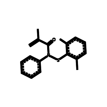 C=C(C)C(=O)N(Sc1c(C)cccc1C)c1ccccc1